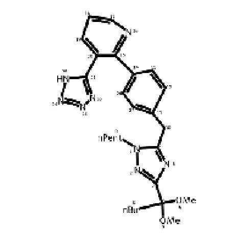 CCCCCn1nc(C(CCCC)(OC)OC)nc1Cc1ccc(-c2ncccc2-c2nnn[nH]2)cc1